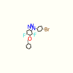 Fc1cc2nnn(-c3ccc(Br)cc3)c2c(F)c1OCc1ccccc1